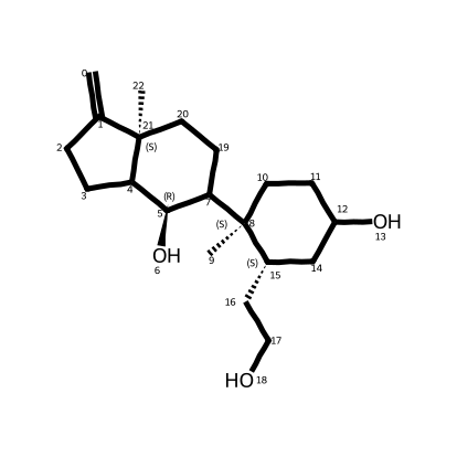 C=C1CCC2[C@H](O)C([C@@]3(C)CCC(O)C[C@@H]3CCO)CC[C@]12C